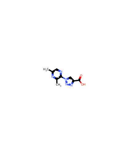 Cc1cnc(-n2cc(C(=O)O)nn2)c(C)n1